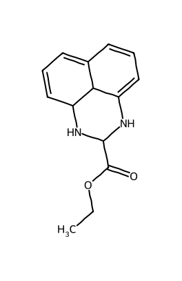 CCOC(=O)C1NC2=CC=CC3=CC=CC(N1)C32